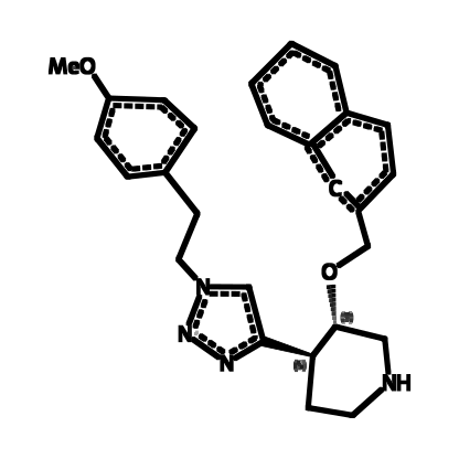 COc1ccc(CCn2cc([C@@H]3CCNC[C@H]3OCc3ccc4ccccc4c3)nn2)cc1